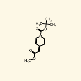 COC(=O)C=C1C=CN(C(=O)OC(C)(C)C)CC1